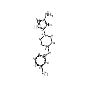 Nc1n[nH]c(N2CCN(Cc3cccc(C(F)(F)F)c3)CC2)n1